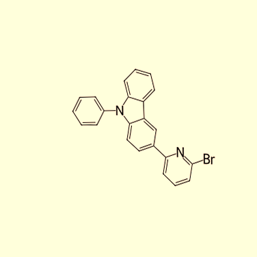 Brc1cccc(-c2ccc3c(c2)c2ccccc2n3-c2ccccc2)n1